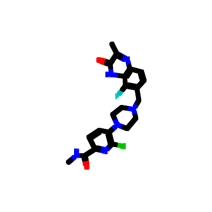 CNC(=O)c1ccc(N2CCN(Cc3ccc4nc(C)c(=O)[nH]c4c3F)CC2)c(Cl)n1